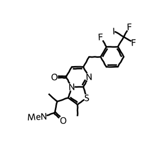 CNC(=O)C(C)c1c(C)sc2nc(Cc3cccc(C(F)(F)I)c3F)cc(=O)n12